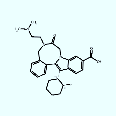 CN(C)CCN1Cc2ccccc2-c2c([C@H]3CCCC[C@@H]3F)c3ccc(C(=O)O)cc3n2CC1=O